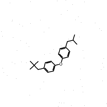 CC(C)Cc1ccc(Oc2ccc(CC(C)(C)C)cc2)cc1